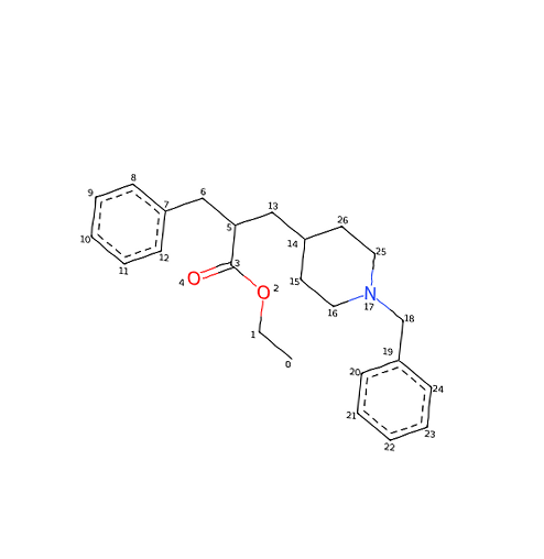 CCOC(=O)C(Cc1ccccc1)CC1CCN(Cc2ccccc2)CC1